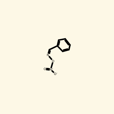 O=[N+]([O-])O/N=C\c1ccccc1